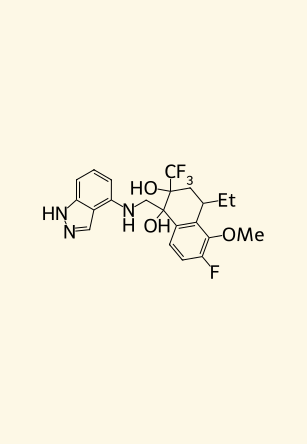 CCC1CC(O)(C(F)(F)F)C(O)(CNc2cccc3[nH]ncc23)c2ccc(F)c(OC)c21